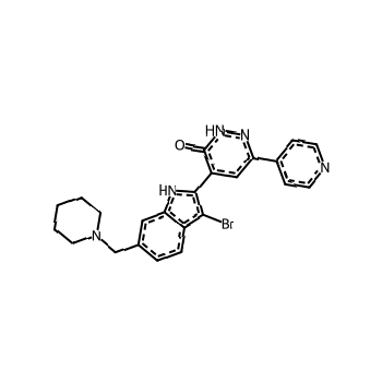 O=c1[nH]nc(-c2ccncc2)cc1-c1[nH]c2cc(CN3CCCCC3)ccc2c1Br